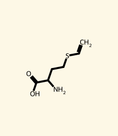 C=CSCCC(N)C(=O)O